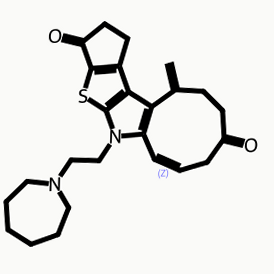 C=C1CCC(=O)C/C=C\c2c1c1c3c(sc1n2CCN1CCCCCC1)C(=O)CC3